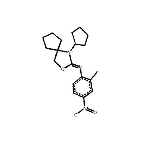 Cc1cc([N+](=O)[O-])ccc1N=C1OCC2(CCCC2)N1C1CCCC1